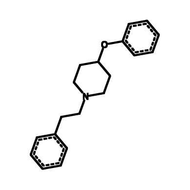 c1ccc(CCN2CCC(Oc3ccccc3)CC2)cc1